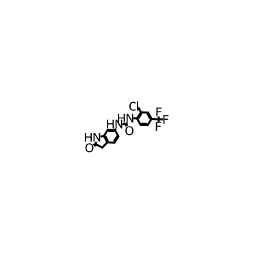 O=C1Cc2ccc(NC(=O)Nc3ccc(C(F)(F)F)cc3Cl)cc2N1